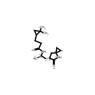 CC1(C)CC1CCC(=O)N[C@H](C#N)C[C@@H]1CC2(CC2)NC1=O